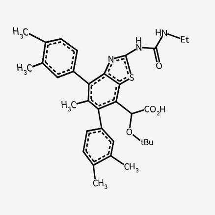 CCNC(=O)Nc1nc2c(-c3ccc(C)c(C)c3)c(C)c(-c3ccc(C)c(C)c3)c(C(OC(C)(C)C)C(=O)O)c2s1